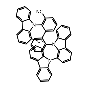 N#Cc1cccc(-c2ccccc2-n2c3ccccc3c3cccc(-n4c5ccccc5c5ccccc54)c32)c1-n1c2ccccc2c2cccc(C#N)c21